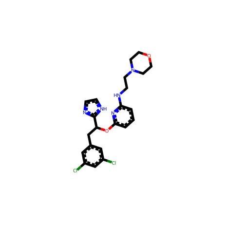 Clc1cc(Cl)cc(CC(Oc2cccc(NCCN3CCOCC3)n2)c2ncc[nH]2)c1